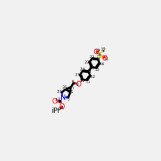 CC(C)OC(=O)N1CC2C(COc3ccc(-c4ccc(S(C)(=O)=O)cc4)cc3)C2C1